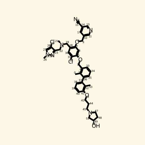 Cc1c(COc2cc(OCc3cncc(C#N)c3)c(CN(C)Cc3nn(C)cc3Cl)cc2Cl)cccc1-c1cccc(OCCCN2CC[C@@H](O)C2)c1C